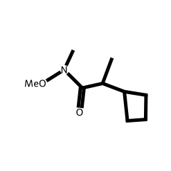 CON(C)C(=O)C(C)C1CCC1